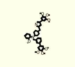 COc1ccccc1N(Cc1cccc(-c2cc(OC)c(OC)c(OC)c2)c1)C1CCC(Cc2cncc(-c3cc(OC)c(OC)c(OC)c3)c2)CC1